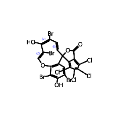 O=C1OC2(/C=C/C(Br)=C(O)\C(Br)=C\Oc3c2cc(Br)c(O)c3Br)c2c(Cl)c(Cl)c(Cl)c(Cl)c21